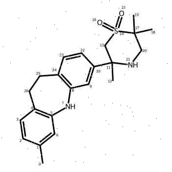 Cc1ccc2c(c1)Nc1cc(C3(C)CS(=O)(=O)C(C)(C)CN3)ccc1CC2